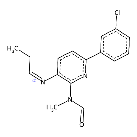 CC/C=N\c1ccc(-c2cccc(Cl)c2)nc1N(C)C=O